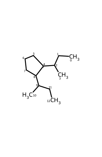 CCC(C)[C]1CCCC1C(C)CC